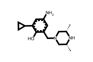 C[C@@H]1CN(Cc2cc(N)cc(C3CC3)c2O)C[C@H](C)N1